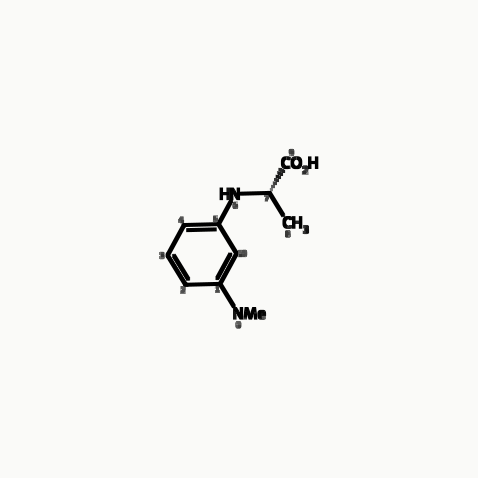 CNc1cccc(N[C@@H](C)C(=O)O)c1